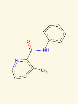 O=C(Nc1ccccc1)c1ncccc1C(F)(F)F